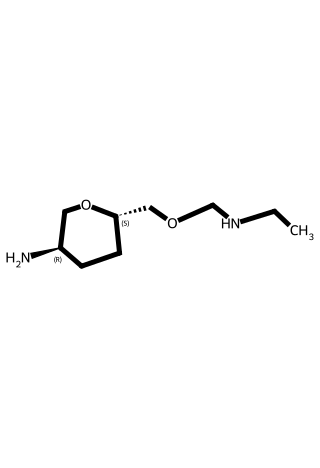 CCNCOC[C@@H]1CC[C@@H](N)CO1